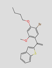 C=C(c1cc2ccccc2s1)c1cc(Br)c(OCCCC)cc1OC